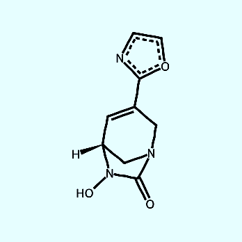 O=C1N2CC(c3ncco3)=C[C@H](C2)N1O